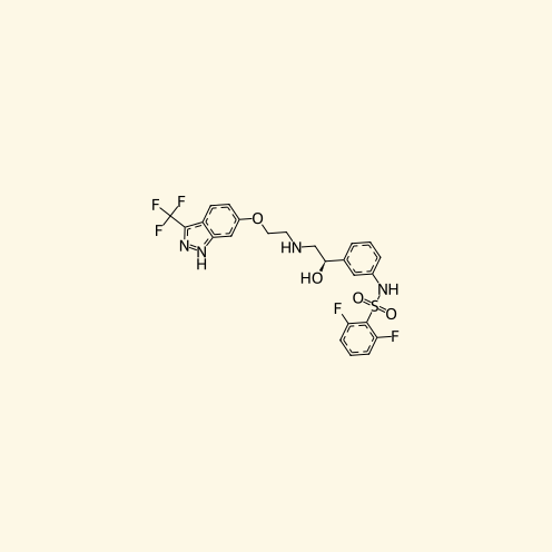 O=S(=O)(Nc1cccc([C@@H](O)CNCCOc2ccc3c(C(F)(F)F)n[nH]c3c2)c1)c1c(F)cccc1F